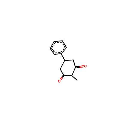 CC1C(=O)CC(c2ccccc2)CC1=O